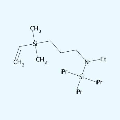 C=C[Si](C)(C)CCCN(CC)[Si](C(C)C)(C(C)C)C(C)C